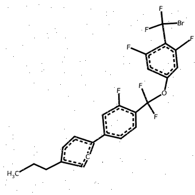 CCCc1ccc(-c2ccc(C(F)(F)Oc3cc(F)c(C(F)(F)Br)c(F)c3)c(F)c2)cc1